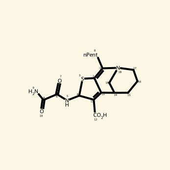 CCCCCC1=C2SC(NC(=O)C(N)=O)C(C(=O)O)=C2C2CCCN1C2